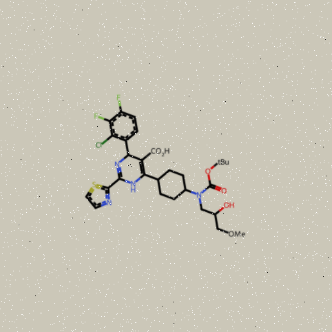 COCC(O)CN(C(=O)OC(C)(C)C)C1CCC(C2=C(C(=O)O)C(c3ccc(F)c(F)c3Cl)N=C(c3nccs3)N2)CC1